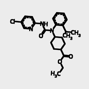 CCOC(=O)C1CCC(N(C(=O)Nc2ccc(Cl)cn2)c2ccccc2C(C)C)CC1